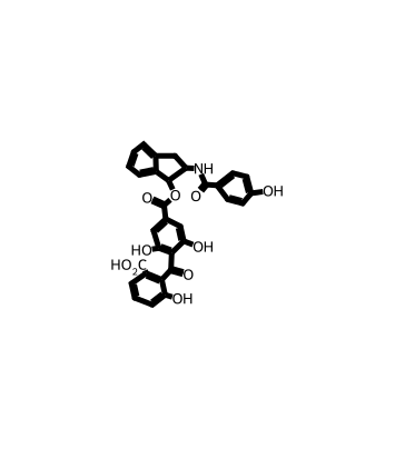 O=C(NC1Cc2ccccc2C1OC(=O)c1cc(O)c(C(=O)c2c(O)cccc2C(=O)O)c(O)c1)c1ccc(O)cc1